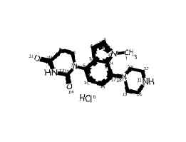 Cl.Cn1ccc2c(N3CCC(=O)NC3=O)ccc(N3CCNCC3)c21